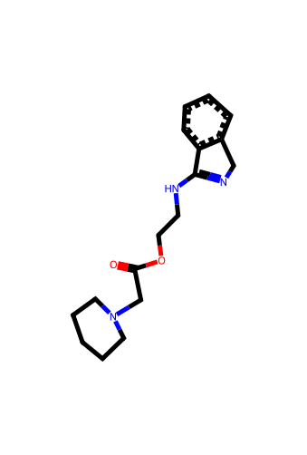 O=C(CN1CCCCC1)OCCNC1=NCc2ccccc21